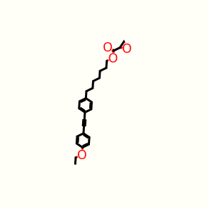 CCOc1ccc(C#Cc2ccc(CCCCCCCOC(=O)C3CO3)cc2)cc1